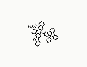 CC1(C)c2ccccc2-c2c(N(c3ccc(C4(c5ccccc5)c5ccccc5-c5ccccc54)cc3)c3ccc4oc5ccccc5c4c3)cc3ccccc3c21